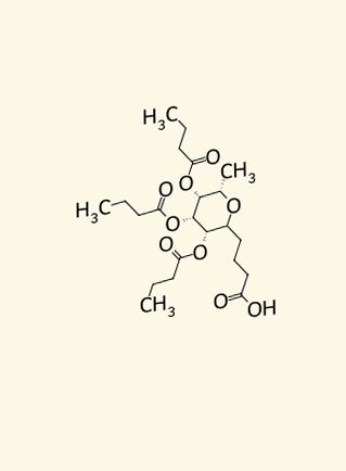 CCCC(=O)O[C@@H]1[C@H](OC(=O)CCC)[C@H](C)OC(CCCC(=O)O)[C@@H]1OC(=O)CCC